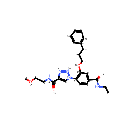 CCNC(=O)c1ccc(-n2cc(C(=O)NCCOC)nn2)c(OCCCc2ccccc2)c1